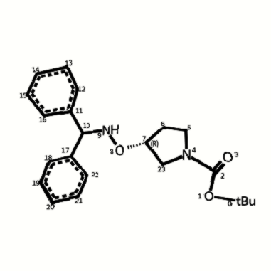 CC(C)(C)OC(=O)N1CC[C@@H](ONC(c2ccccc2)c2ccccc2)C1